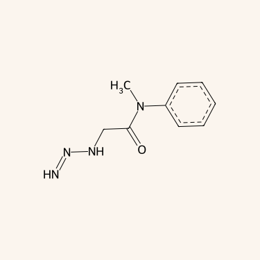 CN(C(=O)CNN=N)c1ccccc1